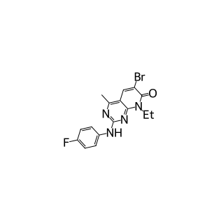 CCn1c(=O)c(Br)cc2c(C)nc(Nc3ccc(F)cc3)nc21